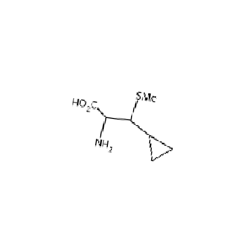 CSC(C1CC1)C(N)C(=O)O